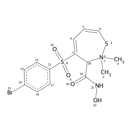 C[N+]1(C)SC=CC=C(S(=O)(=O)c2ccc(Br)cc2)C1C(=O)NO